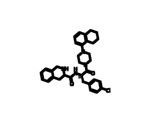 O=C(N[C@H](Cc1ccc(Cl)cc1)C(=O)N1CCN(c2cccc3c2CCCC3)CC1)C1Cc2ccccc2CN1